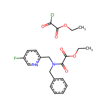 CCOC(=O)C(=O)Cl.CCOC(=O)C(=O)N(Cc1ccccc1)Cc1ccc(F)cn1